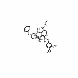 CCOC(=O)c1cnc(NCc2ccc(OC)c(OC)c2)c([N+](=O)[O-])c1N[C@H]1CN(Cc2ccccc2)CC[C@H]1C